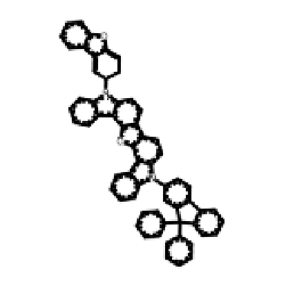 C1=c2oc3ccccc3c2=CC(n2c3ccccc3c3c4oc5c(ccc6c5c5ccccc5n6-c5ccc6c(c5)C(c5ccccc5)(c5ccccc5)c5ccccc5-6)c4ccc32)C1